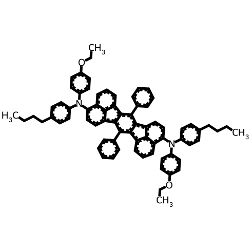 CCCCc1ccc(N(c2ccc(OCC)cc2)c2ccc3c4c(-c5ccccc5)c5c6cccc7c(N(c8ccc(CCCC)cc8)c8ccc(OCC)cc8)ccc(c5c(-c5ccccc5)c4c4cccc2c43)c76)cc1